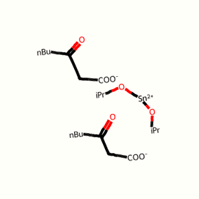 CC(C)[O][Sn+2][O]C(C)C.CCCCC(=O)CC(=O)[O-].CCCCC(=O)CC(=O)[O-]